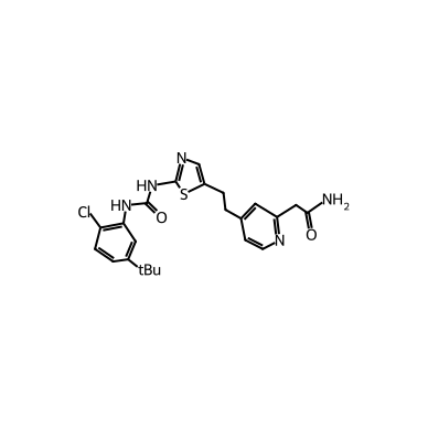 CC(C)(C)c1ccc(Cl)c(NC(=O)Nc2ncc(CCc3ccnc(CC(N)=O)c3)s2)c1